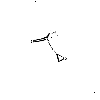 CC(=O)[C@H]1CO1